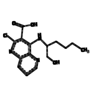 CCCCC(CO)Nc1c(C(=O)O)c(Cl)nc2cccnc12